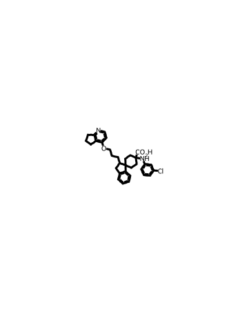 O=C(O)C1(Nc2cccc(Cl)c2)CCC2(CC1)c1ccccc1CC2CCCOc1ccnc2c1CCC2